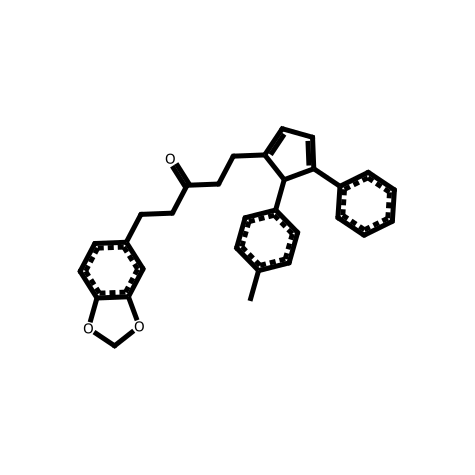 Cc1ccc(C2C(CCC(=O)CCc3ccc4c(c3)OCO4)=CC=C2c2ccccc2)cc1